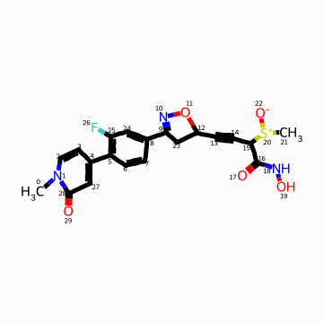 Cn1ccc(-c2ccc(C3=NOC(C#CC(C(=O)NO)[S+](C)[O-])C3)cc2F)cc1=O